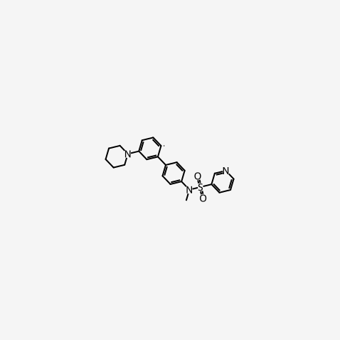 CN(c1ccc(-c2[c]ccc(N3CCCCC3)c2)cc1)S(=O)(=O)c1cccnc1